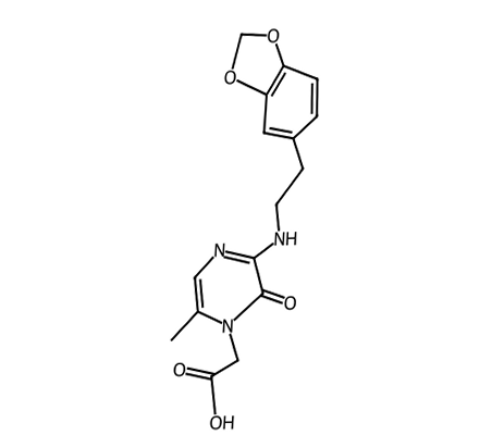 Cc1cnc(NCCc2ccc3c(c2)OCO3)c(=O)n1CC(=O)O